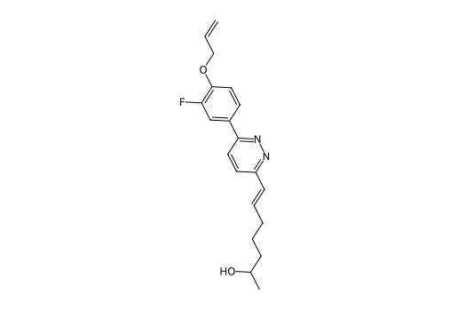 C=CCOc1ccc(-c2ccc(C=CCCCC(C)O)nn2)cc1F